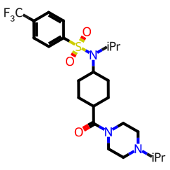 CC(C)N1CCN(C(=O)C2CCC(N(C(C)C)S(=O)(=O)c3ccc(C(F)(F)F)cc3)CC2)CC1